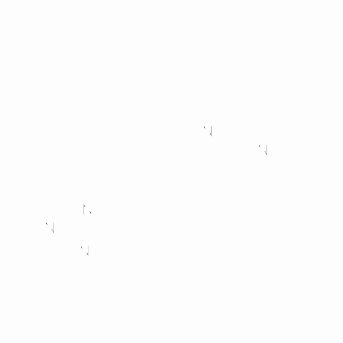 c1ccc(-c2nc(-c3ccccc3)nc(-c3cccc(-c4ccc5c(c4)c4ccccc4n4c6ccccc6c6ccc7c8c9ccccc9ccc8n5c7c64)c3)n2)cc1